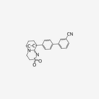 N#Cc1cccc(-c2ccc(C34CCC(CC3)N3CCS(=O)(=O)N=C34)cc2)c1